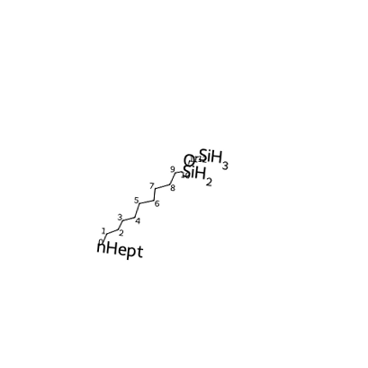 CCCCCCCCCCCCCCCC[SiH2]O[SiH3]